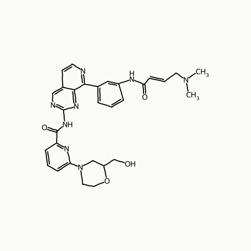 CN(C)CC=CC(=O)Nc1cccc(-c2nccc3cnc(NC(=O)c4cccc(N5CCOC(CO)C5)n4)nc23)c1